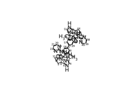 CC1(C)c2c[nH]c(n2)C2CC3CC3N2C1(C(=O)Nc1ncccn1)c1ccc(-c2ccc(C3(C(=O)Nc4ncccn4)N4C(CC5CC54)c4nc(c[nH]4)C3(C)C)cc2)cc1